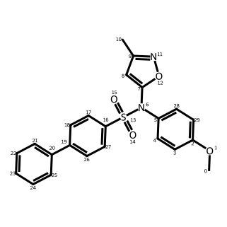 COc1ccc(N(c2cc(C)no2)S(=O)(=O)c2ccc(-c3ccccc3)cc2)cc1